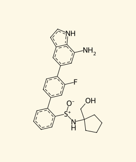 Nc1cc(-c2ccc(-c3ccccc3[S+]([O-])NC3(CO)CCCC3)cc2F)cc2cc[nH]c12